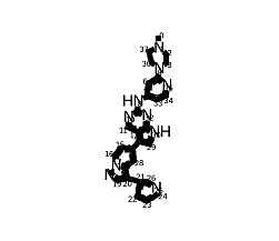 CN1CCN(c2cc(Nc3ncc4c(-c5ccn6ncc(-c7cccnc7)c6c5)c[nH]c4n3)ccn2)CC1